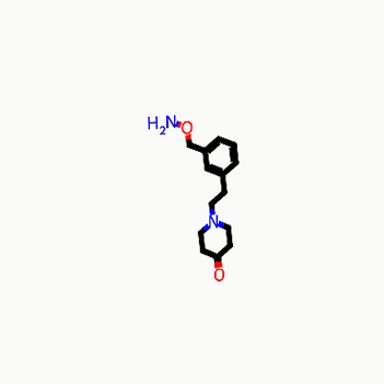 NOCc1cccc(CCN2CCC(=O)CC2)c1